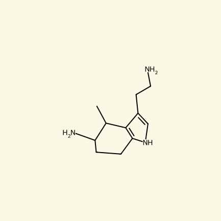 CC1c2c(CCN)c[nH]c2CCC1N